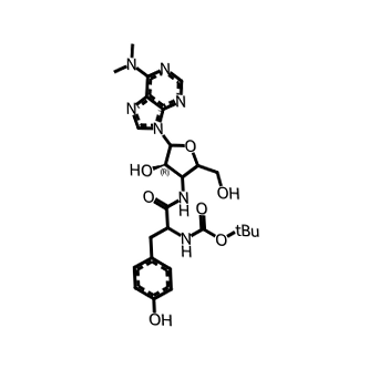 CN(C)c1ncnc2c1ncn2C1OC(CO)C(NC(=O)C(Cc2ccc(O)cc2)NC(=O)OC(C)(C)C)[C@H]1O